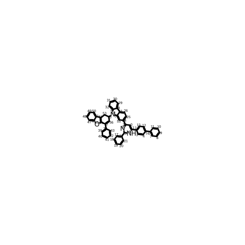 C1=C(c2ccc(-c3ccccc3)cc2)NC(c2ccccc2)N=C1c1ccc2c3ccccc3n(C3C=C(c4ccccc4)c4oc5ccccc5c4C3)c2c1